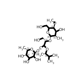 CO[C@@H]1C(CO)O[C@@H](O[C@@H](CO)C(CO[C@@H]2O[C@@H](C)[C@@H](O)C(O)C2O)O[C@@H](C)C(C)C)[C@@H](C)C1O